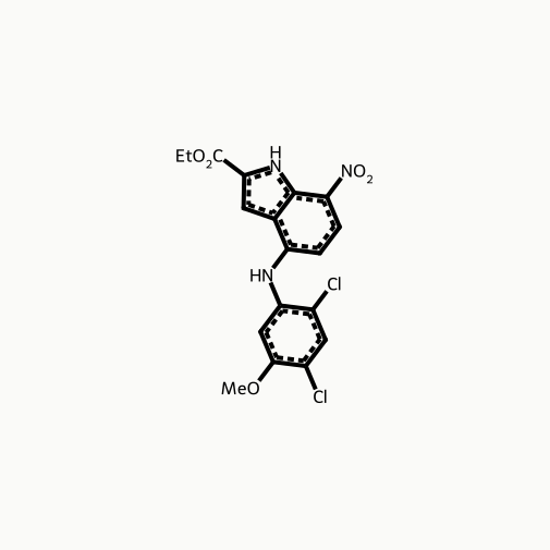 CCOC(=O)c1cc2c(Nc3cc(OC)c(Cl)cc3Cl)ccc([N+](=O)[O-])c2[nH]1